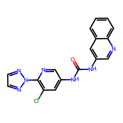 O=C(Nc1cnc(-n2nccn2)c(Cl)c1)Nc1cnc2ccccc2c1